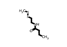 CCCC(=O)NCCSSC